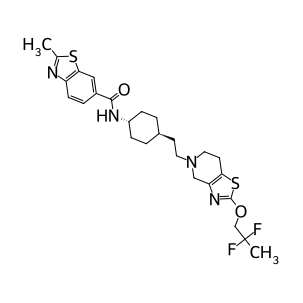 Cc1nc2ccc(C(=O)N[C@H]3CC[C@H](CCN4CCc5sc(OCC(C)(F)F)nc5C4)CC3)cc2s1